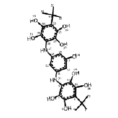 CC(C)(C)c1c(O)c(O)c(Nc2cc(Cl)cc(Nc3c(O)c(O)c(C(C)(C)C)c(O)c3O)c2)c(O)c1O